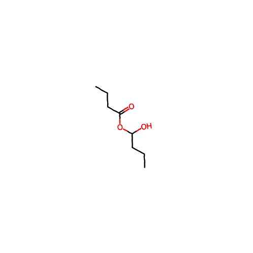 CCCC(=O)OC(O)CCC